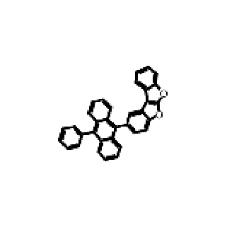 c1ccc(-c2c3ccccc3c(-c3ccc4oc5oc6ccccc6c5c4c3)c3ccccc23)cc1